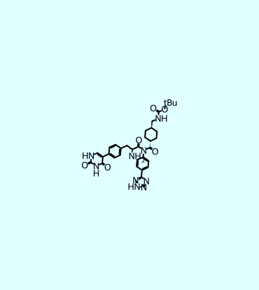 CC(C)(C)OC(=O)NC[C@H]1CC[C@H](C(=O)N(C(=O)[C@@H](N)Cc2ccc(-c3c[nH]c(=O)[nH]c3=O)cc2)c2ccc(-c3nn[nH]n3)cc2)CC1